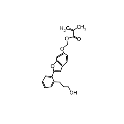 C=C(C)C(=O)OCOc1ccc2cc(-c3ccccc3CCCO)oc2c1